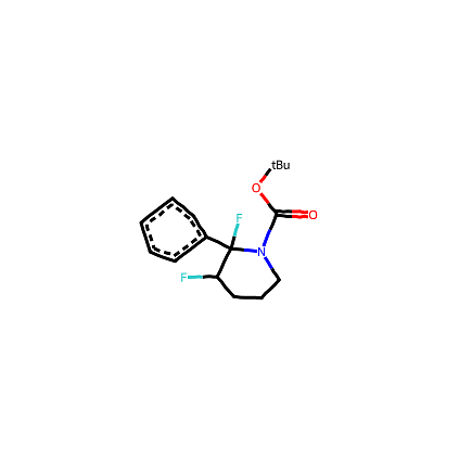 CC(C)(C)OC(=O)N1CCCC(F)C1(F)c1ccccc1